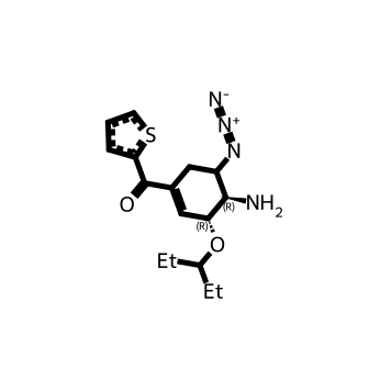 CCC(CC)O[C@@H]1C=C(C(=O)c2cccs2)CC(N=[N+]=[N-])[C@H]1N